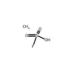 C.O=S(=O)(O)F